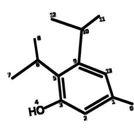 Cc1cc(O)c(C(C)C)c(C(C)C)c1